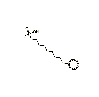 O=P(O)(O)CCCCCCCCCc1ccccc1